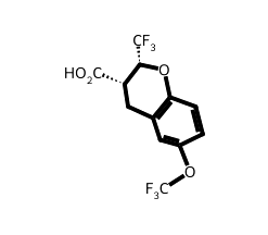 O=C(O)[C@H]1Cc2cc(OC(F)(F)F)ccc2O[C@H]1C(F)(F)F